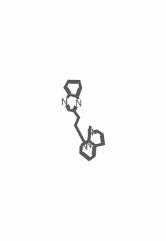 CN1C(CCc2cnc3ccccc3n2)N=C2C=CC=C3C=CC=NC321